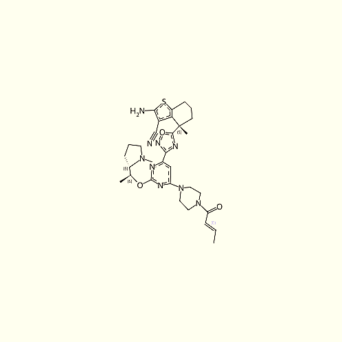 C/C=C/C(=O)N1CCN(c2cc(-c3noc([C@@]4(C)CCCc5sc(N)c(C#N)c54)n3)nc(O[C@@H](C)[C@@H]3CCCN3C)n2)CC1